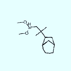 CO[SiH](CC(C)(C)C1CC2CCC1C2)OC